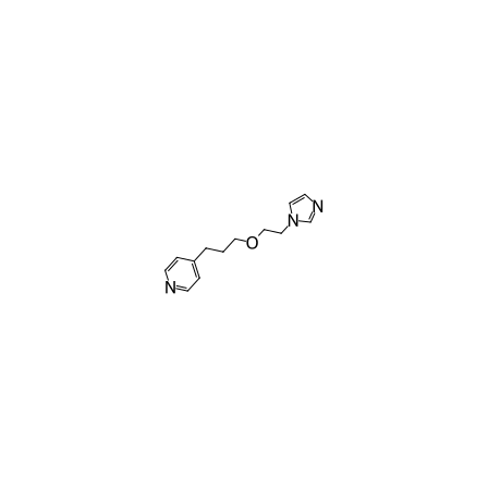 c1cc(CCCOCCn2ccnc2)ccn1